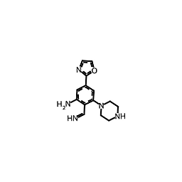 N=Cc1c(N)cc(-c2ncco2)cc1N1CCNCC1